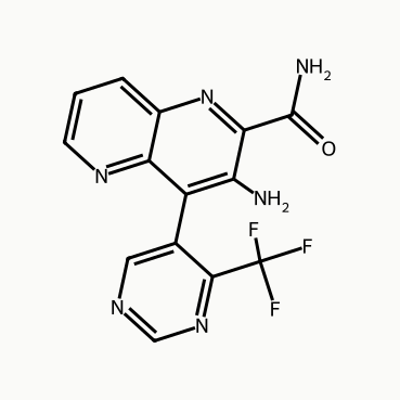 NC(=O)c1nc2cccnc2c(-c2cncnc2C(F)(F)F)c1N